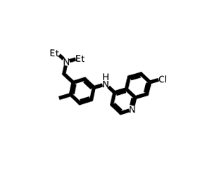 CCN(CC)Cc1cc(Nc2ccnc3cc(Cl)ccc23)ccc1C